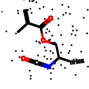 C=C(C)C(=O)OCC(CCCCCC)N=C=O